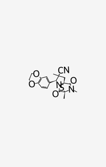 CN1C(=O)[C@@]23C[C@](C)(C#N)[C@H](c4ccc5c(c4)OCCO5)N2C(=O)[C@]1(C)S3